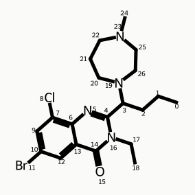 CCCC(c1nc2c(Cl)cc(Br)cc2c(=O)n1CC)N1CCCN(C)CC1